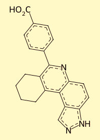 O=C(O)c1ccc(-c2nc3ccc4[nH]ncc4c3c3c2CCCC3)cc1